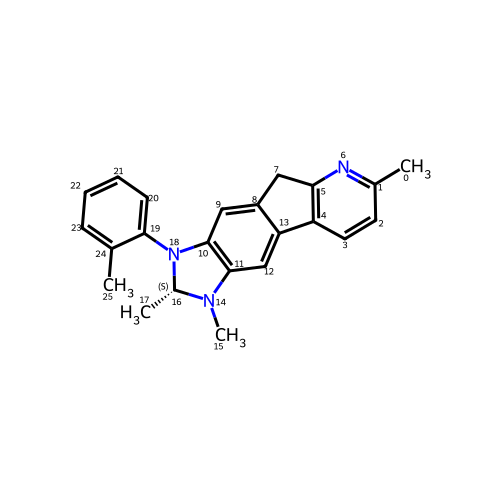 Cc1ccc2c(n1)Cc1cc3c(cc1-2)N(C)[C@H](C)N3c1ccccc1C